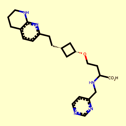 O=C(O)C(CCO[C@H]1C[C@@H](CCc2ccc3c(n2)NCCC3)C1)NCc1ccncn1